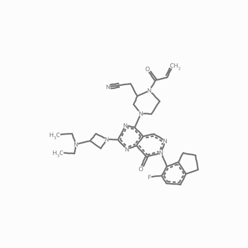 C=CC(=O)N1CCN(c2nc(N3CC(N(CC)CC)C3)nc3c(=O)n(-c4c(F)ccc5c4CCC5)ncc23)CC1CC#N